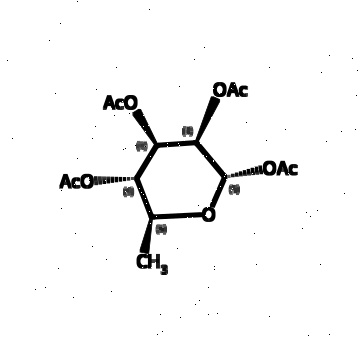 CC(=O)O[C@@H]1O[C@@H](C)[C@H](OC(C)=O)[C@@H](OC(C)=O)[C@H]1OC(C)=O